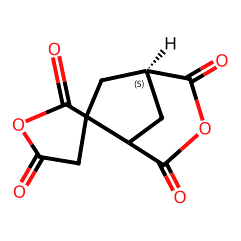 O=C1CC2(C[C@@H]3CC2C(=O)OC3=O)C(=O)O1